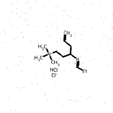 Cl.[CH2]C/[C]=N/C(CC=C)CC[N+](C)(C)C.[Cl-]